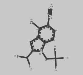 [C-]#[N+]c1ccc2c(cc(C(F)F)n2CC(F)(F)F)c1Cl